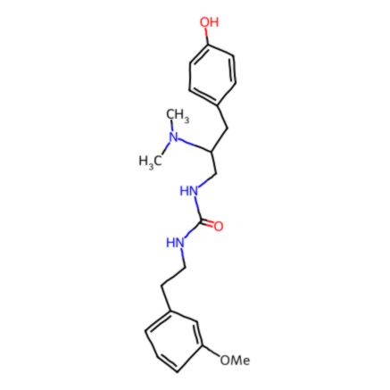 COc1cccc(CCNC(=O)NCC(Cc2ccc(O)cc2)N(C)C)c1